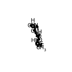 Cc1ccc(NC(=O)c2cc(CNC(=O)c3ncnc4c3CC(=O)N4)no2)cc1C(F)(F)F